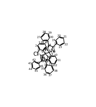 Clc1ccccc1C1(C2(c3ccccc3Cl)N=C(c3ccccc3)C(c3ccccc3)=N2)N=C(c2ccccc2)C(c2ccccc2)=N1